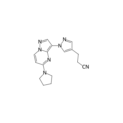 N#CCCc1cnn(-c2cnn3ccc(N4CCCC4)nc23)c1